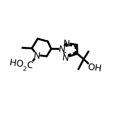 CC1CCC(n2ncc(C(C)(C)O)n2)CN1C(=O)O